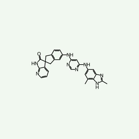 Cc1nc2cc(Nc3cc(Nc4ccc5c(c4)CC4(C5)C(=O)Nc5ncccc54)ncn3)cc(C)c2[nH]1